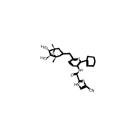 C[C@]12CC(Cc3ccc(NC(=O)c4nc(C#N)c[nH]4)c(C4=CCCCC4)n3)C[C@](C)(O1)[C@H](O)[C@@H]2O